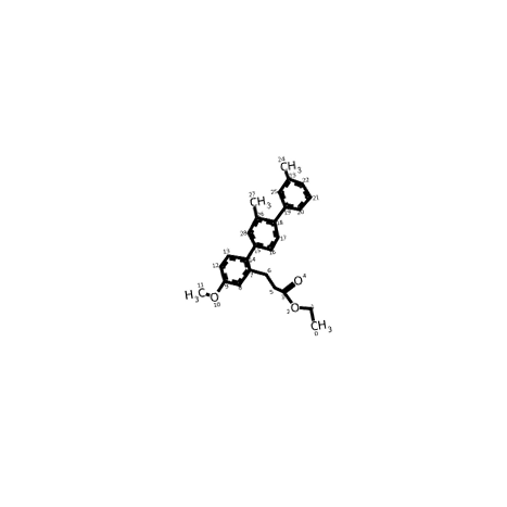 CCOC(=O)CCc1cc(OC)ccc1-c1ccc(-c2cccc(C)c2)c(C)c1